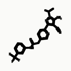 CC(C)n1nc(-c2ccc(CC(=O)Nc3cccc(C(F)(F)F)c3)cn2)c(C#N)c1N